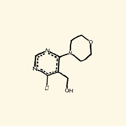 OCc1c(Cl)ncnc1N1CCOCC1